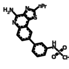 CCCc1nc2c(N)nc3ccc(-c4cccc(NS(C)(=O)=O)c4)cc3c2s1